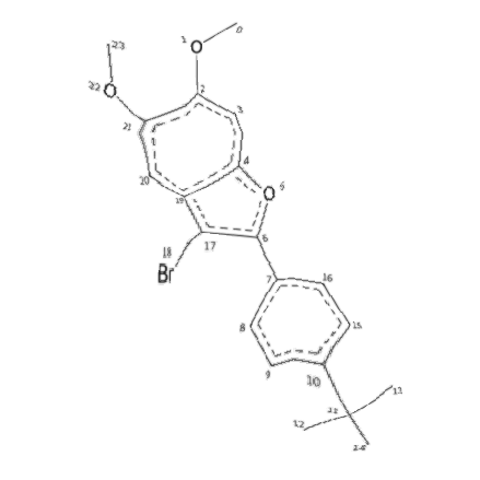 COc1cc2oc(-c3ccc(C(C)(C)C)cc3)c(Br)c2cc1OC